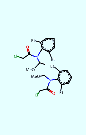 CCc1cccc(CC)c1N(C(=O)CCl)C(C)OC.CCc1cccc(CC)c1N(COC)C(=O)CCl